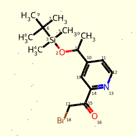 CC(O[Si](C)(C)C(C)(C)C)c1ccnc(C(=O)CBr)c1